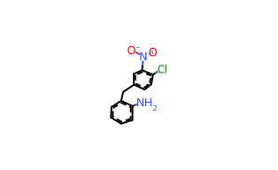 Nc1ccccc1Cc1ccc(Cl)c([N+](=O)[O-])c1